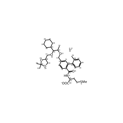 CSCC[C@H](NC(=O)c1ccc(COC(C)C(OCC2COC(C)(C)O2)C2CCCCC2)cc1-c1ccccc1C)C(=O)[O-].[Li+]